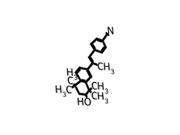 CC(=Cc1ccc(C#N)cc1)c1ccc2c(c1)C(C)(C)C(O)CC2(C)C